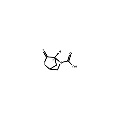 O=C1OC2C[C@H]1N(C(=O)O)C2